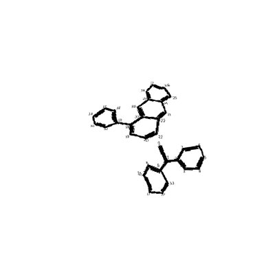 C=C(c1ccccc1)c1ccccc1.c1ccc(-c2cccc3cc4ccccc4cc23)cc1